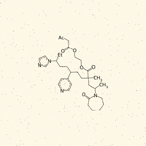 CCC(CCC(CCC(C)(CC(C)N1CCCCCC1=O)C(=O)OCCOC(=O)CC(C)=O)c1ccncc1)n1ccnc1